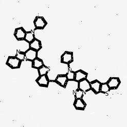 c1ccc(-n2c3cc(-c4cccc5c4sc4cc6c7ccc8c(c9ccccc9n8-c8ccccc8)c7c7nc8ccccc8n7c6cc45)ccc3c3c4c(ccc32)c2cc3c(cc2n2c5ccccc5nc42)sc2ccccc23)cc1